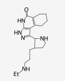 CCNCCCC1CCNC1c1n[nH]c2[nH]c(=O)c3c(c12)CCCC3